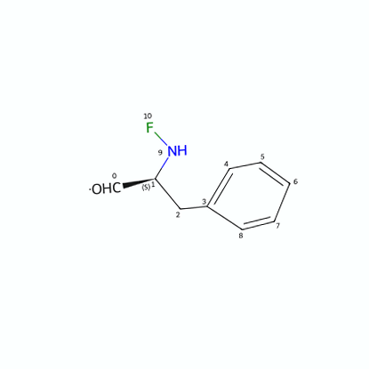 O=[C][C@H](Cc1ccccc1)NF